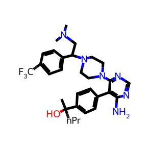 CCCC(C)(O)c1ccc(-c2c(N)ncnc2N2CCN(C(CN(C)C)c3ccc(C(F)(F)F)cc3)CC2)cc1